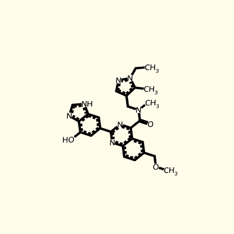 CCn1ncc(CN(C)C(=O)c2nc(-c3cc(O)c4nc[nH]c4c3)nc3ccc(COC)cc23)c1C